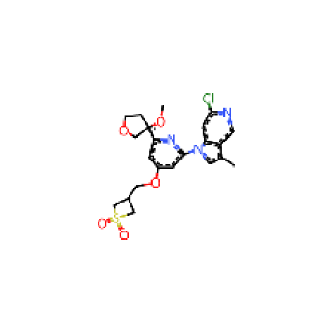 CO[C@]1(c2cc(OCC3CS(=O)(=O)C3)cc(-n3cc(C)c4cnc(Cl)cc43)n2)CCOC1